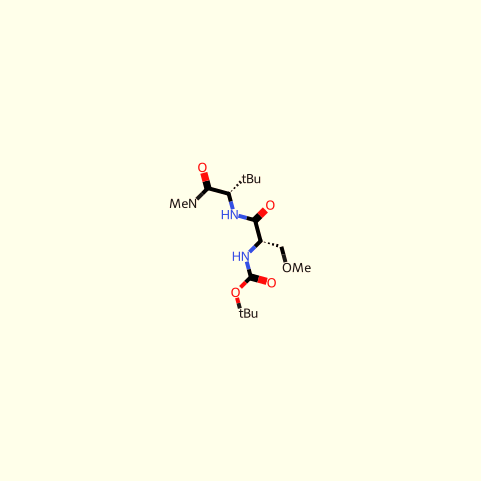 CNC(=O)[C@@H](NC(=O)[C@H](COC)NC(=O)OC(C)(C)C)C(C)(C)C